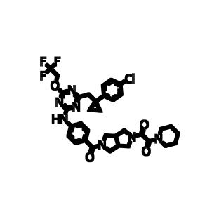 O=C(C(=O)N1CC2CN(C(=O)c3ccc(Nc4nc(CC5(c6ccc(Cl)cc6)CC5)nc(OCC(F)(F)F)n4)cc3)CC2C1)N1CCCCC1